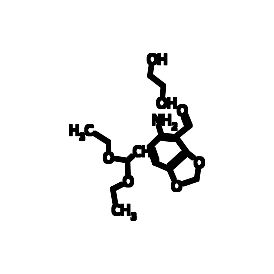 CCOC(C)OCC.Nc1ccc2c(c1C=O)OCO2.OCCO